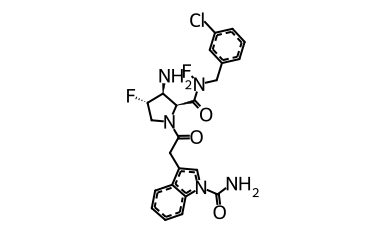 NC(=O)n1cc(CC(=O)N2C[C@H](F)[C@@H](N)[C@H]2C(=O)N(F)Cc2cccc(Cl)c2)c2ccccc21